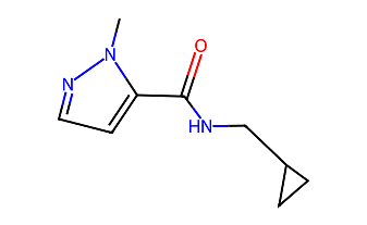 Cn1nccc1C(=O)NCC1CC1